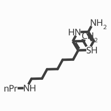 C=C1C2=C(CCCCCCNCCC)[SH]1C=C(N)N2